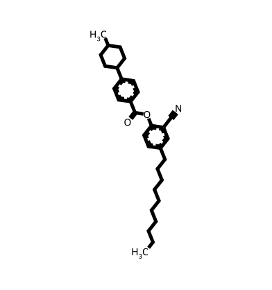 CCCCCCCCCCc1ccc(OC(=O)c2ccc(C3CCC(C)CC3)cc2)c(C#N)c1